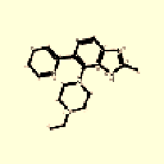 CCN1CCN(c2c(C3=CCCC=N3)ccc3nc(C)[nH]c23)CC1